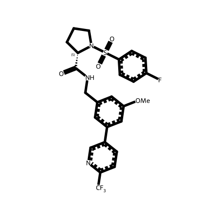 COc1cc(CNC(=O)[C@@H]2CCCN2S(=O)(=O)c2ccc(F)cc2)cc(-c2ccc(C(F)(F)F)nc2)c1